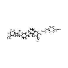 C#CC1CCN(CCCOc2cc3ncnc(Nc4ccc(NC(=O)c5cccc(Cl)c5)nc4)c3cc2OC)CC1